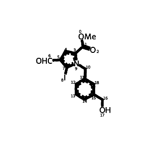 COC(=O)c1cc(C=O)c(I)n1Cc1cccc(CO)c1